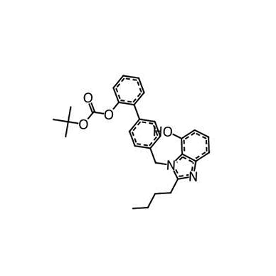 CCCCc1nc2cccc(O)c2n1Cc1ccc(-c2ccccc2OC(=O)OC(C)(C)C)cc1